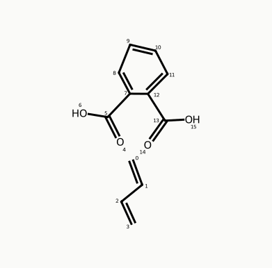 C=CC=C.O=C(O)c1ccccc1C(=O)O